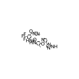 CNc1nccc(-c2cccnc2Oc2ccc(NC(=O)Nc3cc(C(=O)N4CCN(C)CC4)cc(C(F)(F)F)c3)cc2C)n1